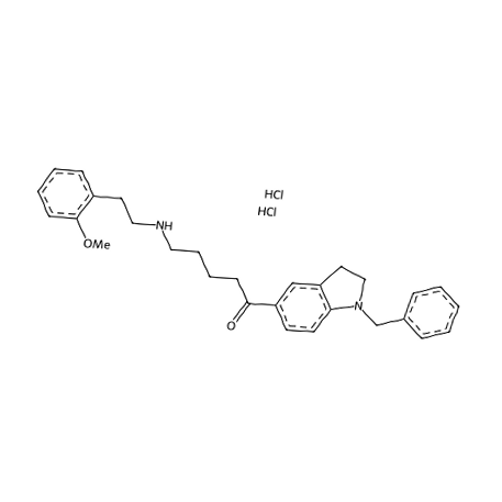 COc1ccccc1CCNCCCCC(=O)c1ccc2c(c1)CCN2Cc1ccccc1.Cl.Cl